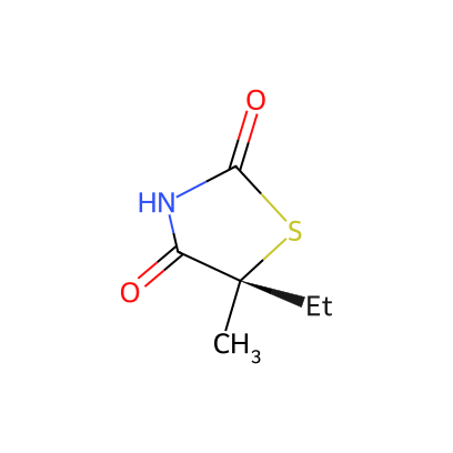 CC[C@]1(C)SC(=O)NC1=O